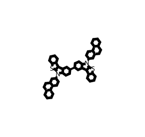 c1ccc2c(c1)ccc1cc(-n3c4ccc(-c5ccc6c(c5)c5c7ccccc7sc5n6-c5ccc6c(ccc7ccccc76)c5)cc4c4c5ccccc5sc43)ccc12